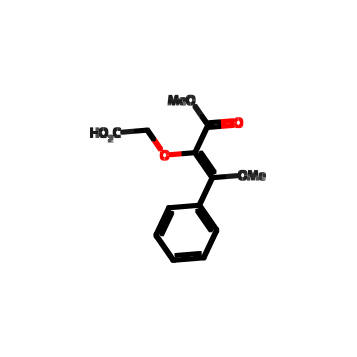 COC(=O)C(OCC(=O)O)=C(OC)c1ccccc1